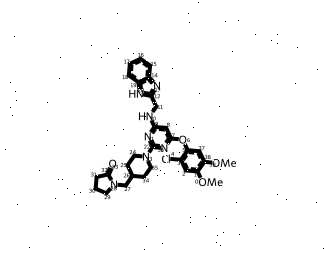 COc1cc(Cl)c(Oc2cc(NCc3nc4ccccc4[nH]3)nc(N3CCC(CN4CCCC4=O)CC3)n2)cc1OC